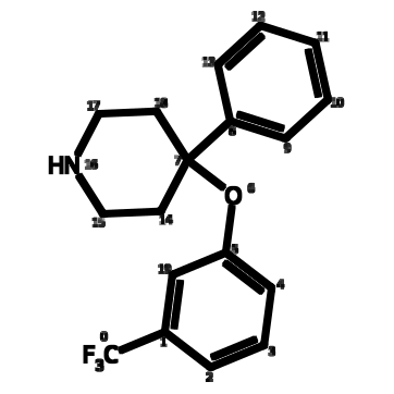 FC(F)(F)c1cccc(OC2(c3ccccc3)CCNCC2)c1